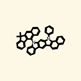 CC1(C)c2ccccc2-c2c1cc1ccccc1c2-n1c2ccccc2c2cc3c4ccc5ccccc5c4n(-c4ccccc4)c3cc21